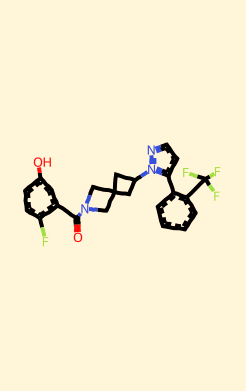 O=C(c1cc(O)ccc1F)N1CC2(CC(n3nccc3-c3ccccc3C(F)(F)F)C2)C1